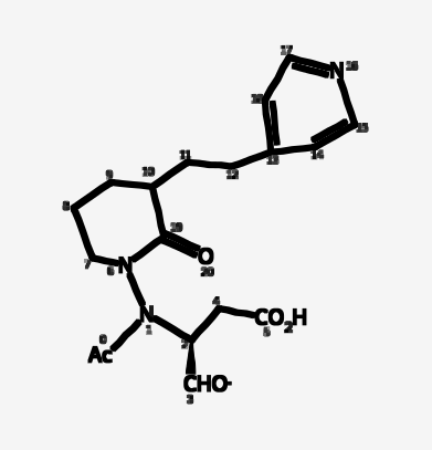 CC(=O)N([C@H]([C]=O)CC(=O)O)N1CCCC(CCc2ccncc2)C1=O